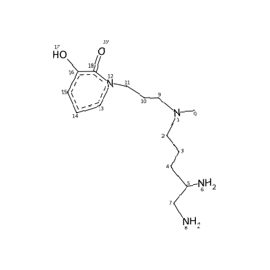 CN(CCCC(N)CN)CCCn1cccc(O)c1=O